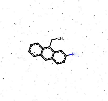 CCc1c2ccccc2cc2ccc(N)cc12